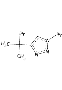 CC(C)n1cc(C(C)(C)C(C)C)nn1